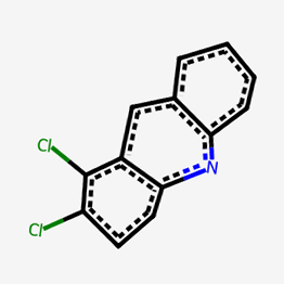 Clc1ccc2nc3ccccc3cc2c1Cl